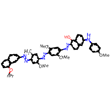 CCCOc1cccc2ccc(N=Nc3cc(OC)c(N=Nc4cc(OC)c(N=Nc5ccc6cc(Nc7ccc(OC)cc7)ccc6c5O)cc4OC)cc3C)cc12